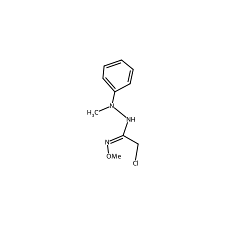 CON=C(CCl)NN(C)c1ccccc1